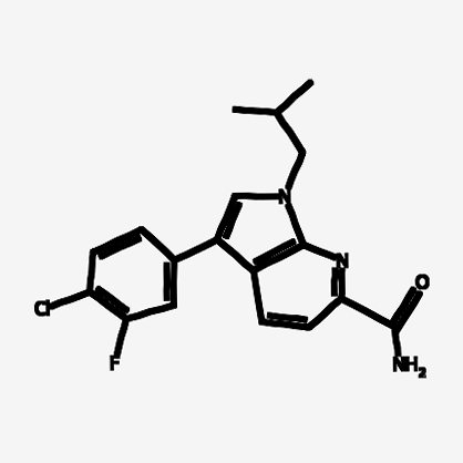 CC(C)Cn1cc(-c2ccc(Cl)c(F)c2)c2ccc(C(N)=O)nc21